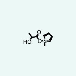 CC(O)C(=O)O[Si]1(C)C=CC=C1